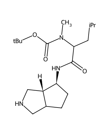 CC(C)CC(C(=O)N[C@H]1CCC2CNC[C@@H]21)N(C)C(=O)OC(C)(C)C